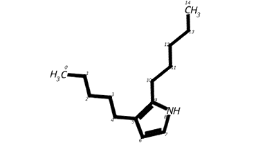 CCCCCc1cc[nH]c1CCCCC